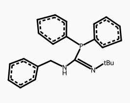 CC(C)(C)/N=C(/NCc1ccccc1)P(c1ccccc1)c1ccccc1